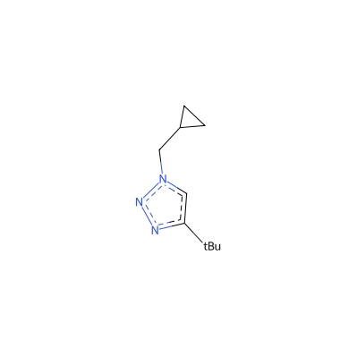 CC(C)(C)c1cn(CC2CC2)nn1